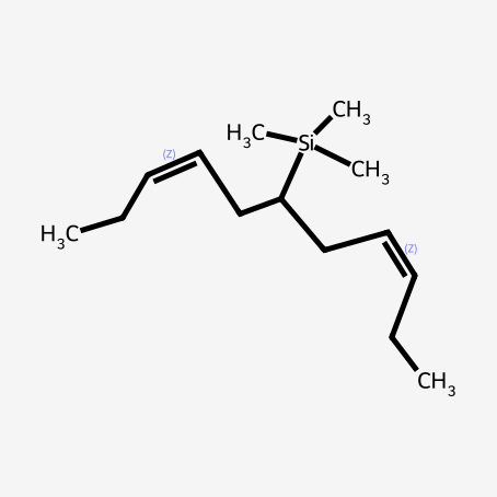 CC/C=C\CC(C/C=C\CC)[Si](C)(C)C